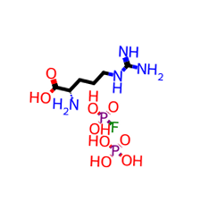 N=C(N)NCCC[C@H](N)C(=O)O.O=P(O)(O)F.O=P(O)(O)O